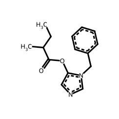 CCC(C)C(=O)Oc1cncn1Cc1ccccc1